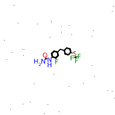 NC(=O)Nc1ccc(Cc2ccc(SC(F)(F)F)cc2)cc1F